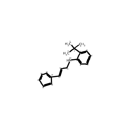 CC(C)(C)c1ccccc1NCC=Cc1ccccc1